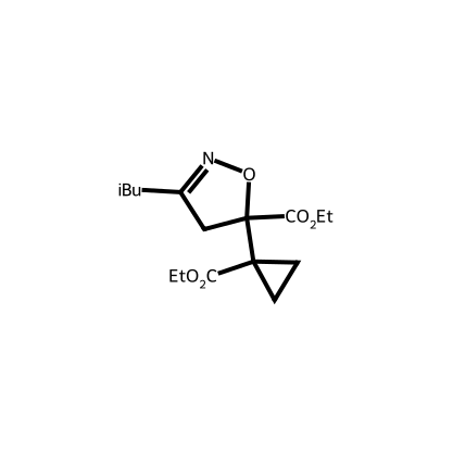 CCOC(=O)C1(C2(C(=O)OCC)CC(C(C)CC)=NO2)CC1